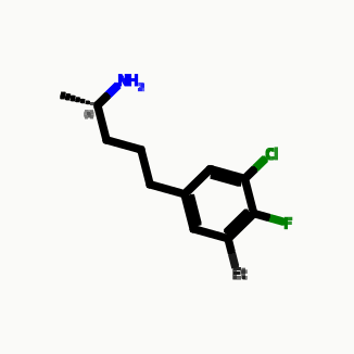 CCc1cc(CCC[C@H](C)N)cc(Cl)c1F